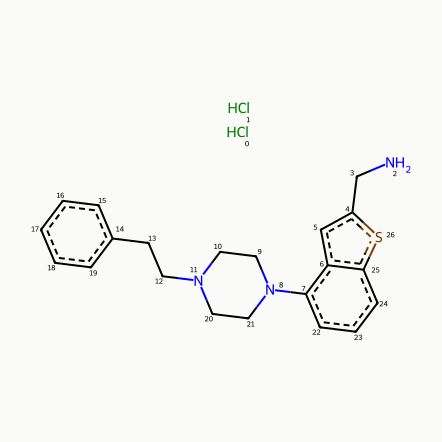 Cl.Cl.NCc1cc2c(N3CCN(CCc4ccccc4)CC3)cccc2s1